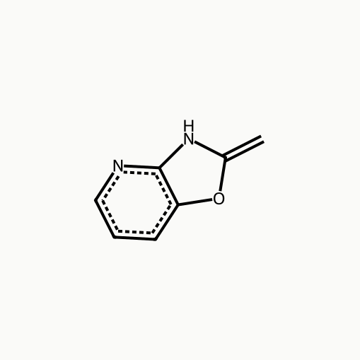 C=C1Nc2ncccc2O1